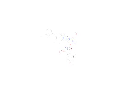 COc1ccc2c(c1)C(=O)N(C[C@@]1(c3ccc(-c4cccc(F)c4)cc3)NC(=O)NC1=O)C2